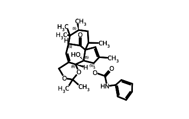 CC1=CC23C(=O)[C@@H](C=C4COC(C)(C)O[C@H]4[C@]2(O)[C@H]1OC(=O)Nc1ccccc1)C(C)(C)[C@@H](C)CC3C